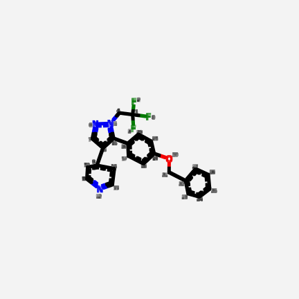 FC(F)(F)Cn1ncc(-c2ccncc2)c1-c1ccc(OCc2ccccc2)cc1